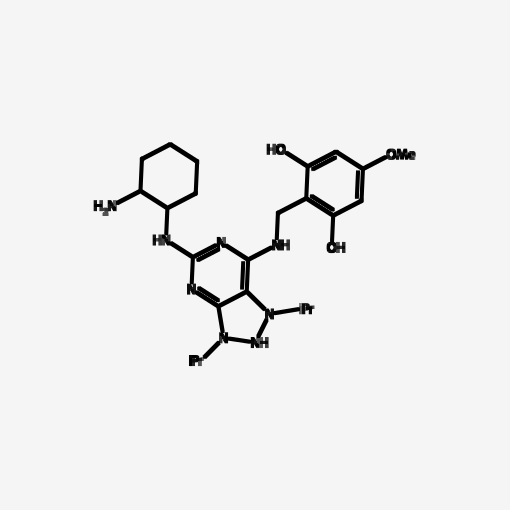 COc1cc(O)c(CNc2nc(NC3CCCCC3N)nc3c2N(C(C)C)NN3C(C)C)c(O)c1